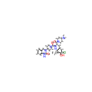 CN(C)C1CCN(C(=O)[C@@H](Cc2cc(Cl)c(O)c(C(F)(F)F)c2)NC(=O)N2CCC(N3Cc4ccccc4NC3=O)CC2)CC1